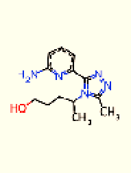 Cc1nnc(-c2cccc(N)n2)n1[C@@H](C)CCCO